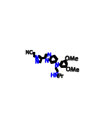 COc1cc(OC)cc(N(CCNC(C)C)c2ccc3ncc(-c4cnn(CCC#N)c4)nc3c2)c1